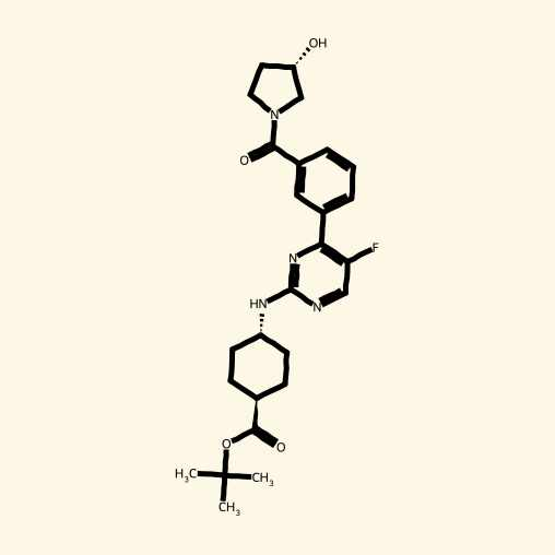 CC(C)(C)OC(=O)[C@H]1CC[C@H](Nc2ncc(F)c(-c3cccc(C(=O)N4CC[C@H](O)C4)c3)n2)CC1